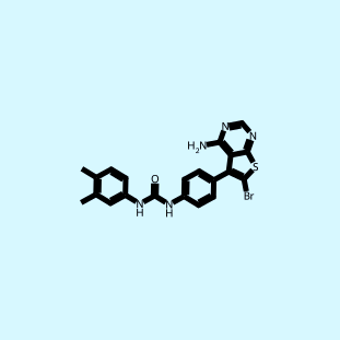 Cc1ccc(NC(=O)Nc2ccc(-c3c(Br)sc4ncnc(N)c34)cc2)cc1C